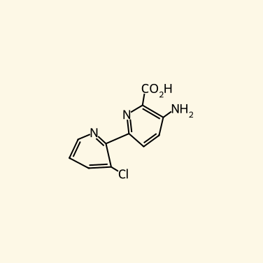 Nc1ccc(-c2ncccc2Cl)nc1C(=O)O